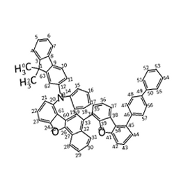 CC1(C)c2ccccc2-c2ccc(N(c3ccccc3)c3cccc4oc5c6ccccc6c(-c6cccc7c6oc6cccc(-c8ccc(-c9ccccc9)cc8)c67)cc5c34)cc21